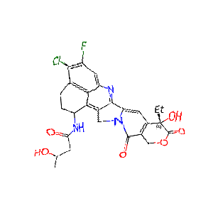 CC[C@@]1(O)C(=O)OCc2c1cc1n(c2=O)Cc2c-1nc1cc(F)c(Cl)c3c1c2C(NC(=O)CC(C)O)CC3